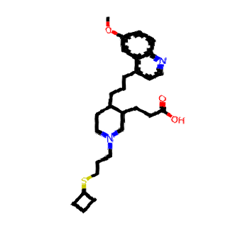 COc1ccc2nccc(CCCC3CCN(CCCSC4CCC4)CC3CCC(=O)O)c2c1